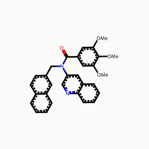 COc1cc(C(=O)N(Cc2ccc3ccccc3c2)c2cnc3ccccc3c2)cc(OC)c1OC